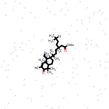 CCC(C)(C)CC[C@@](C)(CCC(C)(C)[C@]1(C)CCC2C(C)(C)C(=O)C(C#N)=C[C@]2(C)/C1=C/C(C)=O)CC(=O)OC